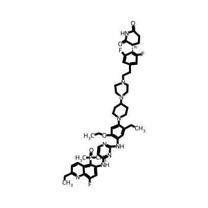 CCOc1cc(N2CCC(N3CCN(CCc4cc(F)c([C@H]5CCC(=O)NC5=O)c(F)c4)CC3)CC2)c(CC)cc1Nc1nccc(Nc2cc(F)c3nc(CC)ccc3c2P(C)(C)=O)n1